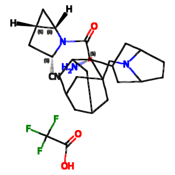 N#C[C@@H]1C[C@@H]2C[C@@H]2N1C(=O)[C@@H](N)C1CC2CCC(C1)N2CC12CC3CC(CC(C3)C1)C2.O=C(O)C(F)(F)F